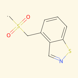 [CH2]S(=O)(=O)Cc1cccc2sncc12